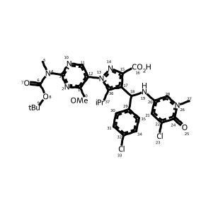 COc1nc(N(C)C(=O)OC(C)(C)C)ncc1-n1nc(C(=O)O)c(C(Nc2cc(Cl)c(=O)n(C)c2)c2ccc(Cl)cc2)c1C(C)C